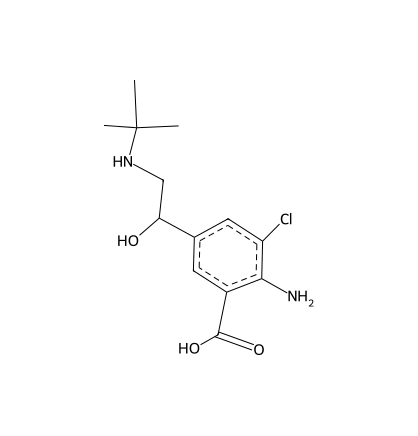 CC(C)(C)NCC(O)c1cc(Cl)c(N)c(C(=O)O)c1